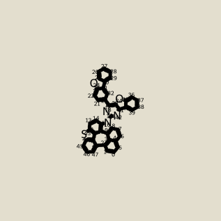 c1cc2c3c(c1)ccc1c3c3c4c(ccc3n1-c1nc(-c3ccc5oc6ccccc6c5c3)c3oc5ccccc5c3n1)sc1cccc-2c14